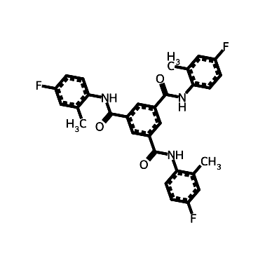 Cc1cc(F)ccc1NC(=O)c1cc(C(=O)Nc2ccc(F)cc2C)cc(C(=O)Nc2ccc(F)cc2C)c1